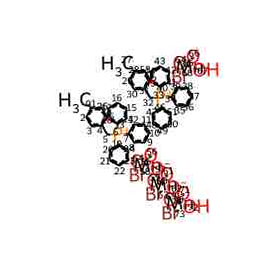 Cc1ccc(C[P+](c2ccccc2)(c2ccccc2)c2ccccc2)cc1.Cc1ccc(C[P+](c2ccccc2)(c2ccccc2)c2ccccc2)cc1.[O]=[Mn](=[O])([O-])[Br].[O]=[Mn](=[O])([O-])[Br].[O]=[Mn](=[O])([OH])[Br].[O]=[Mn](=[O])([OH])[Br]